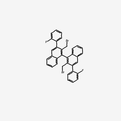 Fc1ccccc1-c1cc2ccccc2c(-c2c(CBr)c(-c3ccccc3F)cc3ccccc23)c1CBr